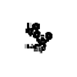 CC(C)CCc1c(C=O)n(Cc2ccccc2)c(=O)n1Cc1ccc(-c2ccccc2-c2nnn[nH]2)cc1